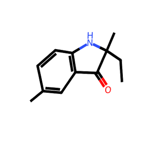 CCC1(C)Nc2ccc(C)cc2C1=O